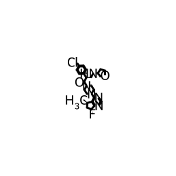 C[C@@H]1C[C@@H](F)c2ncnc(N3CCN(C(=O)[C@H](CNC4CCOC4)c4ccc(Cl)cc4)CC3)c21